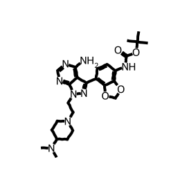 CN(C)C1CCN(CCn2nc(-c3ccc(NC(=O)OC(C)(C)C)c4c3OCO4)c3c(N)ncnc32)CC1